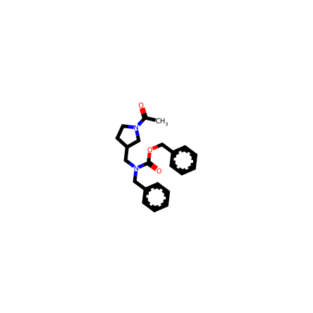 CC(=O)N1CCC(CN(Cc2ccccc2)C(=O)OCc2ccccc2)C1